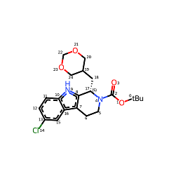 CC(C)(C)OC(=O)N1CCc2c([nH]c3ccc(Cl)cc23)[C@@H]1CC1COCOC1